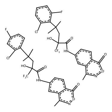 Cc1noc(=O)c2ccc(NC(=O)C(O)(CC(C)(C)c3c(F)cccc3Cl)C(F)(F)F)cc12.Cc1noc(=O)c2ccc(NC(=O)C(O)(CC(C)(C)c3ccc(F)cc3Cl)C(F)(F)F)cc12